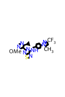 COc1ncnc(C2CC2)c1-c1nc(NCc2ccc(-n3nc(C(F)(F)F)cc3C)cc2)c2ncsc2n1